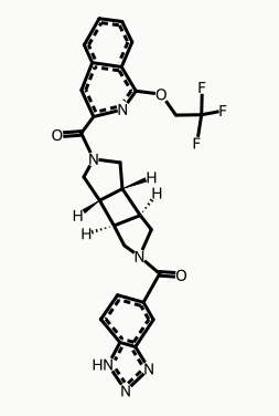 O=C(c1ccc2[nH]nnc2c1)N1C[C@@H]2[C@H](C1)[C@H]1CN(C(=O)c3cc4ccccc4c(OCC(F)(F)F)n3)C[C@@H]21